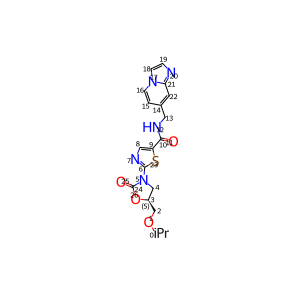 CC(C)OC[C@@H]1CN(c2ncc(C(=O)NCc3ccn4ccnc4c3)s2)C(=O)O1